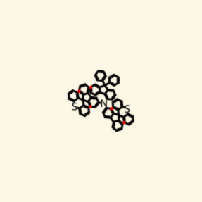 c1ccc(C2(c3ccccc3)c3ccccc3-c3c(N(c4ccc5c(c4)-c4ccccc4C54c5ccccc5Sc5ccccc54)c4ccc5c(c4)C4(c6ccccc6Sc6ccccc64)c4ccccc4-5)cccc32)cc1